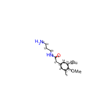 COc1c(C)cc(CC(=O)NCCCN)cc1C(C)(C)C